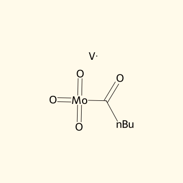 CCCC[C](=O)[Mo](=[O])(=[O])=[O].[V]